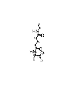 CCNC(=O)CCCC(=O)NC(C)C(C)=O